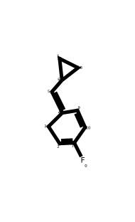 FC1=CCC(=CC2CC2)C=C1